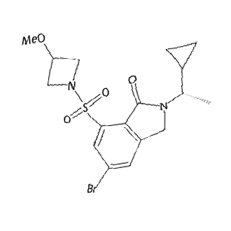 COC1CN(S(=O)(=O)c2cc(Br)cc3c2C(=O)N([C@@H](C)C2CC2)C3)C1